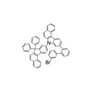 Brc1cccc(-c2ccccc2-c2ccc3c4c5ccccc5ccc4n(-c4ccc5c(c4)C(c4ccccc4)(c4ccccc4)c4ccc6ccccc6c4-5)c3c2)c1